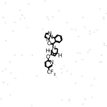 O=C(c1ccccc1-n1nccn1)N1C[C@H]2C[C@@H](Oc3ccc(C(F)(F)F)cn3)[C@@H]1C2